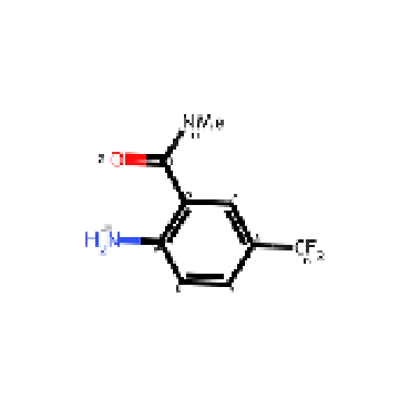 CNC(=O)c1cc(C(F)(F)F)ccc1N